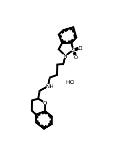 Cl.O=S1(=O)c2ccccc2CN1CCCCNCC1CCc2ccccc2O1